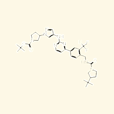 CC(C)(C)OC(=O)N1CCC(n2cc(Nc3nccc(-c4ccc(CNC(=O)N5CCC(C(C)(C)C)C5)c(C(F)(F)F)c4)n3)cn2)C1